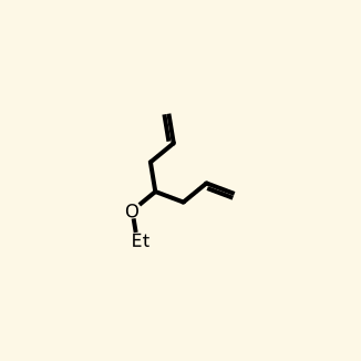 C=CCC(CC=C)OCC